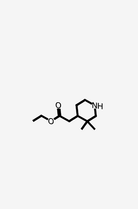 CCOC(=O)CC1CCNCC1(C)C